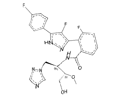 CO[C@H](CO)[C@@H](Cn1cncn1)NC(=O)c1cccc(F)c1-c1n[nH]c(-c2ccc(F)cc2)c1F